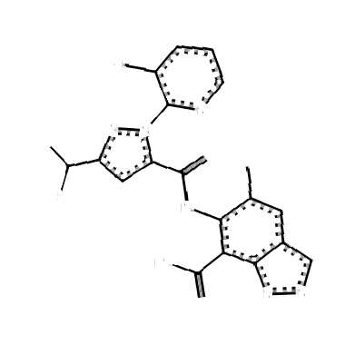 Cc1cc2cn[nH]c2c(C(N)=O)c1NC(=O)c1cc(C(F)F)nn1-c1ncccc1Cl